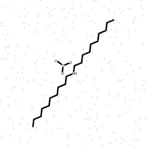 CCCCCCCCCCNCCCCCCCCCC.[Cl][Ti]([Cl])[Cl]